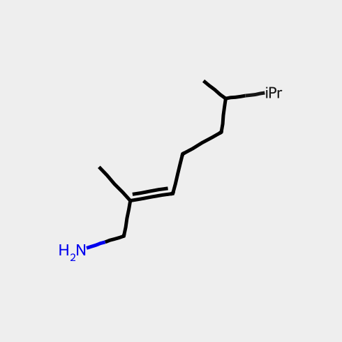 C/C(=C\CCC(C)C(C)C)CN